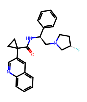 O=C(N[C@H](CN1CC[C@H](F)C1)c1ccccc1)C1(c2cnc3ccccc3c2)CC1